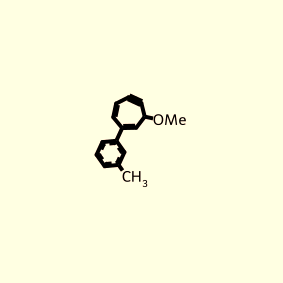 COC1C#CC=CC(c2cccc(C)c2)=C1